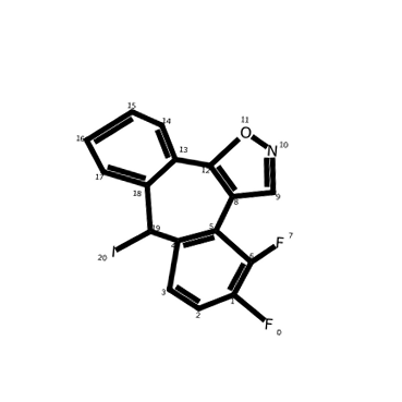 Fc1ccc2c(c1F)-c1cnoc1-c1ccccc1C2I